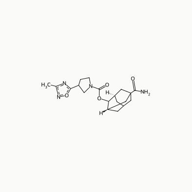 Cc1noc(C2CCN(C(=O)OC3[C@@H]4CC5C[C@H]3CC(C(N)=O)(C5)C4)C2)n1